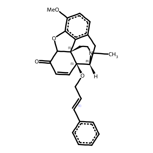 COc1ccc2c3c1OC1C(=O)C=C[C@@]4(OC/C=C/c5ccccc5)[C@@H](C2)N(C)CC[C@]314